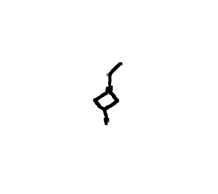 C[CH]N1CC(F)C1